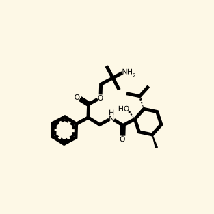 CC(C)[C@@H]1CC[C@@H](C)C[C@@]1(O)C(=O)NCC(C(=O)OCC(C)(C)N)c1ccccc1